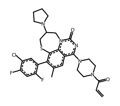 C=CC(=O)N1CCN(c2nc(=O)n3c4c(c(-c5cc(Cl)c(F)cc5F)c(C)cc24)SCC(N2CCCC2)C3)CC1